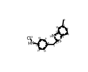 Cc1ccc2sc(Cc3ccc(NCl)cc3)nc2c1